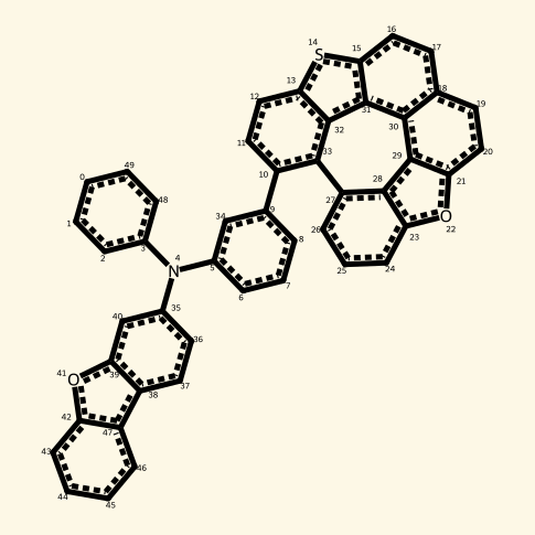 c1ccc(N(c2cccc(-c3ccc4sc5ccc6ccc7oc8cccc9c8c7c6c5c4c3-9)c2)c2ccc3c(c2)oc2ccccc23)cc1